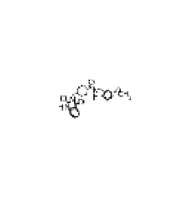 COc1cccc(CNC(=O)C2CCC(Cn3c(=O)[nH]c4ccccc4c3=O)CC2)c1